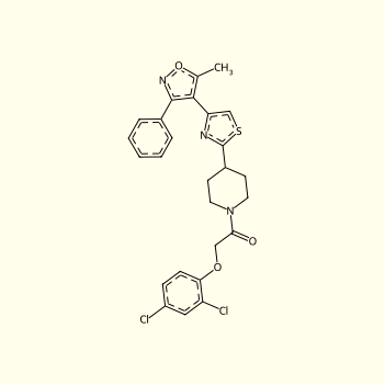 Cc1onc(-c2ccccc2)c1-c1csc(C2CCN(C(=O)COc3ccc(Cl)cc3Cl)CC2)n1